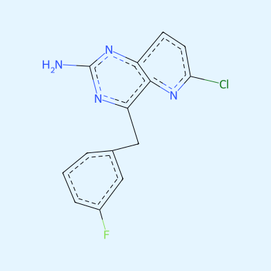 Nc1nc(Cc2cccc(F)c2)c2nc(Cl)ccc2n1